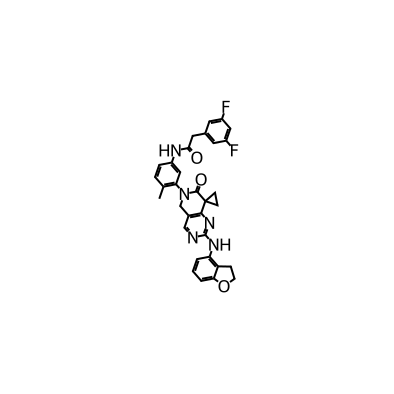 Cc1ccc(NC(=O)Cc2cc(F)cc(F)c2)cc1N1Cc2cnc(Nc3cccc4c3CCO4)nc2C2(CC2)C1=O